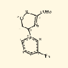 CSC1=NC(c2cccc(F)c2)COC1